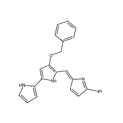 CC(C)C1=NC(=Cc2[nH]c(-c3ccc[nH]3)cc2OCc2ccccc2)C=C1